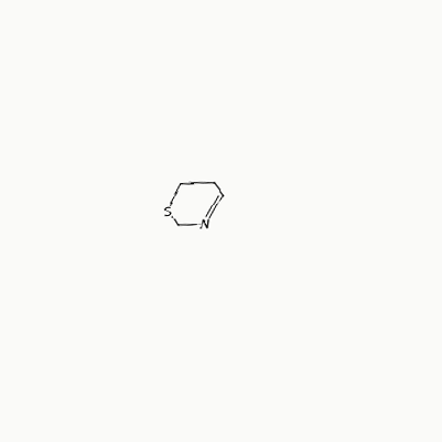 C1=NCSCC1